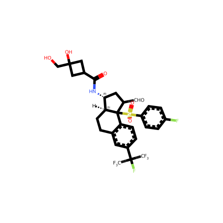 O=CC1C[C@@H](NC(=O)C2CC(O)(CO)C2)[C@@H]2CCc3cc(C(F)(C(F)(F)F)C(F)(F)F)ccc3C12S(=O)(=O)c1ccc(F)cc1